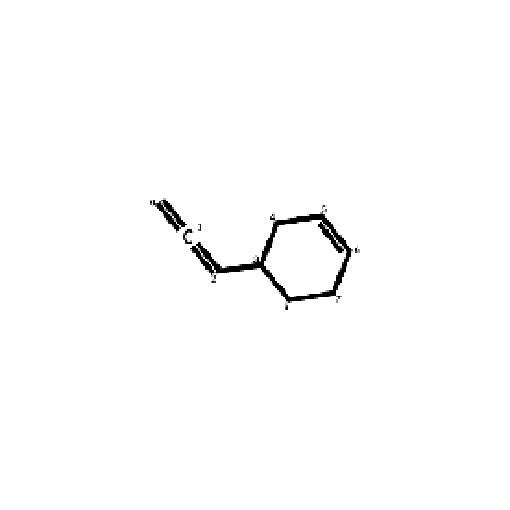 C=C=CC1CC=CCC1